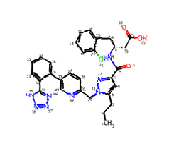 CCCc1cc(C(=O)N[C@@H](CC(=O)O)Cc2ccccc2Cl)nn1Cc1ccc(-c2ccccc2-c2nnn[nH]2)cn1